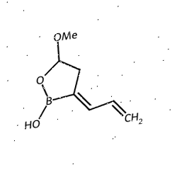 C=C/C=C1\CC(OC)OB1O